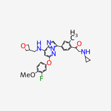 COc1ccc(Oc2cc(NCC3COC3)c3ncc(-c4ccc(C(=O)CNC5CC5)c(C)c4)n3n2)cc1F